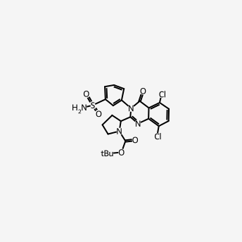 CC(C)(C)OC(=O)N1CCCC1c1nc2c(Cl)ccc(Cl)c2c(=O)n1-c1cccc(S(N)(=O)=O)c1